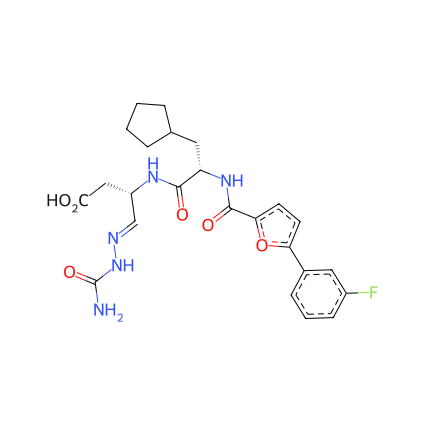 NC(=O)N/N=C/[C@H](CC(=O)O)NC(=O)[C@H](CC1CCCC1)NC(=O)c1ccc(-c2cccc(F)c2)o1